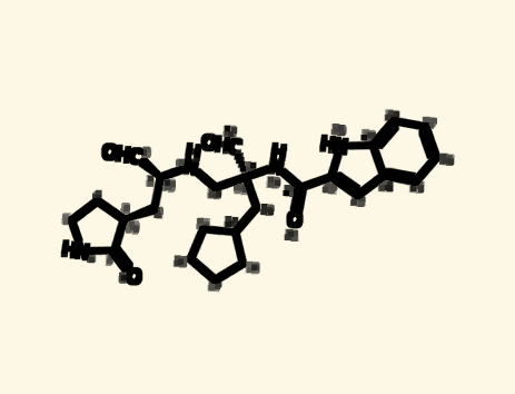 O=C[C@H](C[C@@H]1CCNC1=O)NC[C@](C=O)(CC1CCCC1)NC(=O)c1cc2ccccc2[nH]1